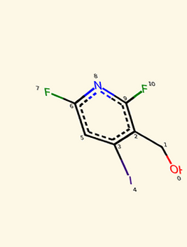 OCc1c(I)cc(F)nc1F